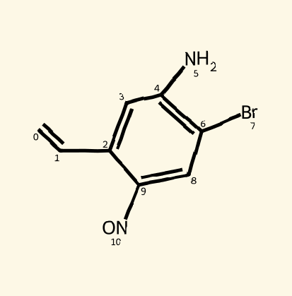 C=Cc1cc(N)c(Br)cc1N=O